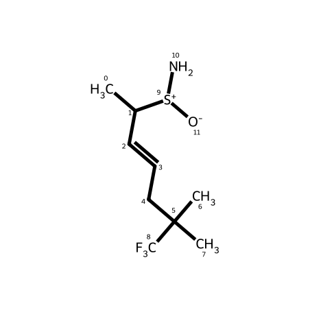 CC(C=CCC(C)(C)C(F)(F)F)[S+](N)[O-]